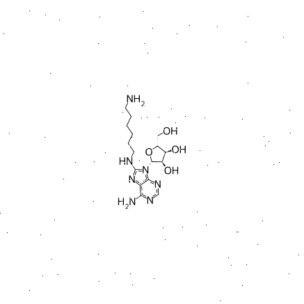 NCCCCCCNc1nc2c(N)ncnc2n1[C@@H]1O[C@H](CO)[C@@H](O)[C@H]1O